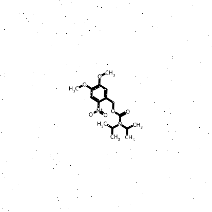 COc1cc(COC(=O)N(C(C)C)C(C)C)c([N+](=O)[O-])cc1OC